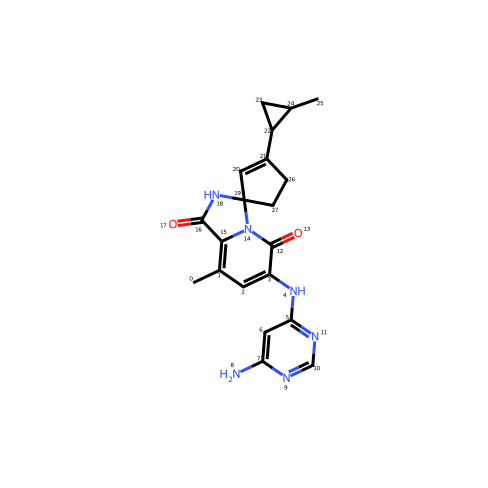 Cc1cc(Nc2cc(N)ncn2)c(=O)n2c1C(=O)NC21C=C(C2CC2C)CC1